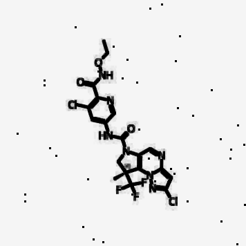 CCONC(=O)c1ncc(NC(=O)N2C[C@@](C)(C(F)(F)F)c3c2cnc2cc(Cl)nn32)cc1Cl